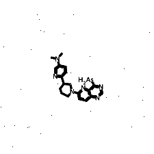 CN(C)c1ccc(C2CCCN(c3ccc4ncnc([AsH2])c4n3)C2)nc1